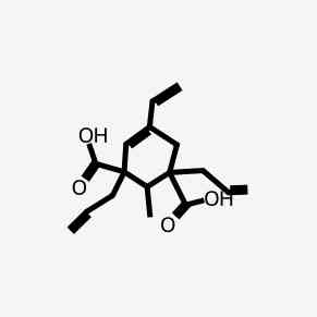 C=CCC1(C(=O)O)C=C(C=C)CC(CC=C)(C(=O)O)C1C